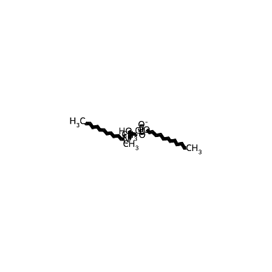 CCCCCCCCCCCCOP(=O)([O-])OCC(O)C[N+](C)(C)CCCCCCCCCCCC